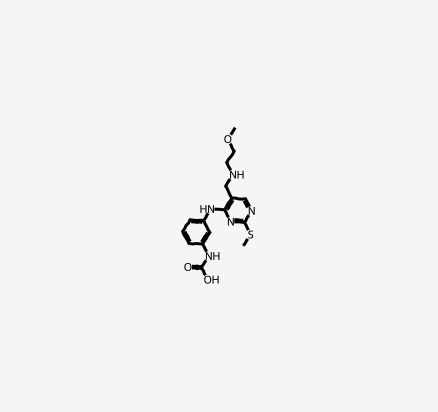 COCCNCc1cnc(SC)nc1Nc1cccc(NC(=O)O)c1